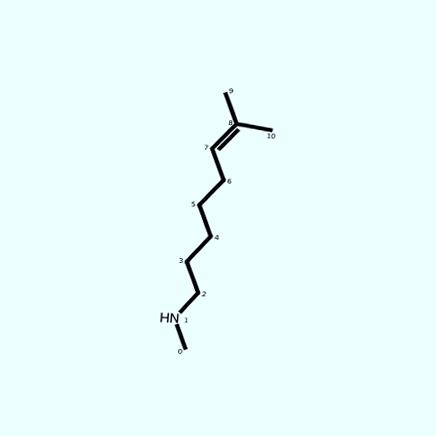 CNCCCCCC=C(C)C